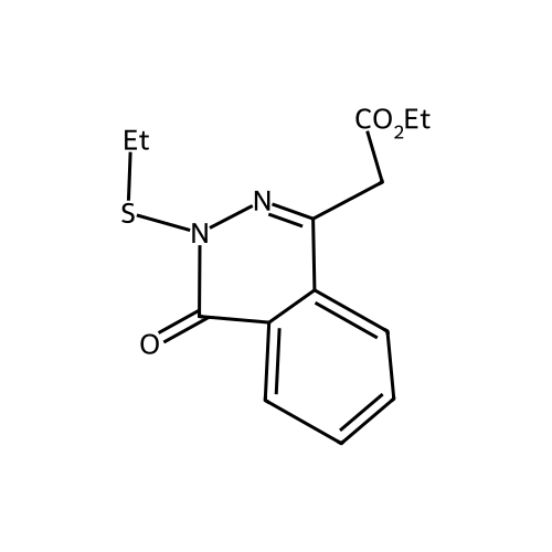 CCOC(=O)Cc1nn(SCC)c(=O)c2ccccc12